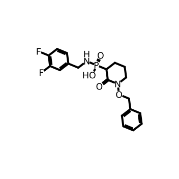 O=C1C(P(=O)(O)NCc2ccc(F)c(F)c2)CCCN1OCc1ccccc1